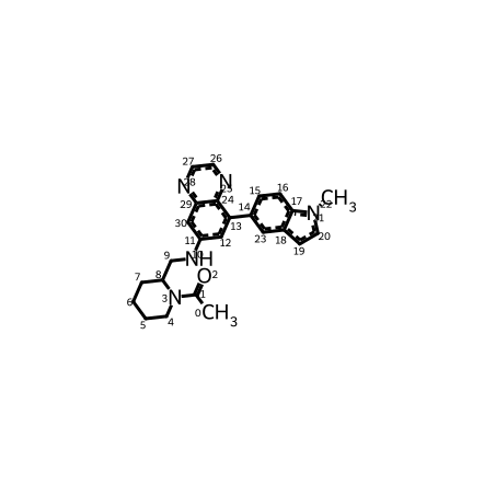 CC(=O)N1CCCCC1CNc1cc(-c2ccc3c(ccn3C)c2)c2nccnc2c1